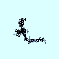 CN(C)c1ccc(/N=N/c2ccc(C(=O)NCc3cn(CCOCCO[C@H](O[C@@H]4O[C@H](CO)[C@@H](O)[C@H](O)[C@H]4O)C(C)(O)C(=O)NCCNc4cccc5c(S(=O)(=O)O)cccc45)nn3)cc2)cc1